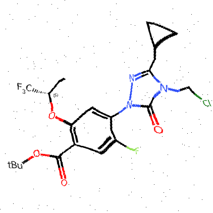 C[C@H](Oc1cc(-n2nc(C3CC3)n(CCl)c2=O)c(F)cc1C(=O)OC(C)(C)C)C(F)(F)F